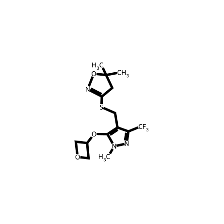 Cn1nc(C(F)(F)F)c(CSC2=NOC(C)(C)C2)c1OC1COC1